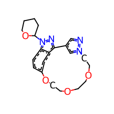 c1cc2c3cc1OCCOCCOCCn1cc(cn1)-c3nn2C1CCCCO1